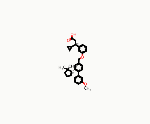 COc1cccc(-c2ccc(COc3cccc([C@H](CC(=O)O)C4CC4)c3)cc2[C@@H]2CCCC2(C)C)c1